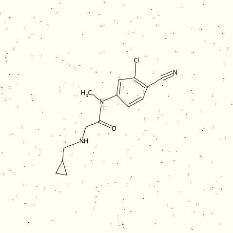 CN(C(=O)CNCC1CC1)c1ccc(C#N)c(Cl)c1